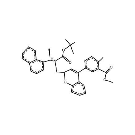 COC(=O)c1cc(C2=CC(CN(C(=O)OC(C)(C)C)[C@H](C)c3cccc4ccccc34)Oc3ccccc32)ccc1C